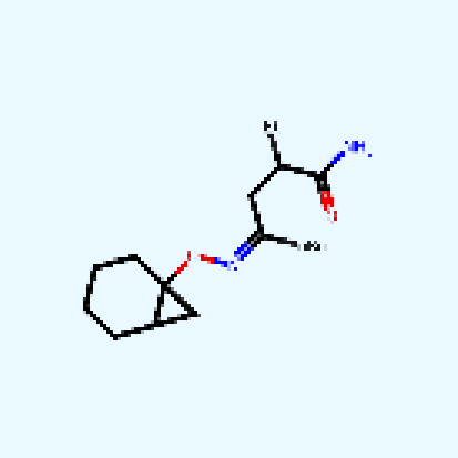 CCCCC(CC(CC)C(N)=O)=NOC12CCCCC1C2